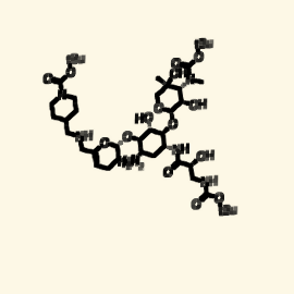 CN(C(=O)OC(C)(C)C)[C@@H]1[C@@H](O)[C@@H](O[C@@H]2[C@@H](O)[C@H](O[C@H]3OC(CNCC4CCN(C(=O)OC(C)(C)C)CC4)=CC[C@H]3N)[C@@H](N)C[C@H]2NC(=O)[C@@H](O)CNC(=O)OC(C)(C)C)OC[C@]1(C)O